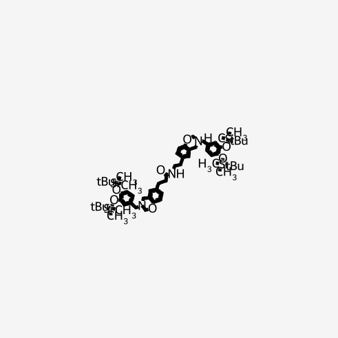 CC(C)(C)[Si](C)(C)Oc1ccc(CN2COc3ccc(CCNC(=O)CCc4ccc5c(c4)CN(Cc4ccc(O[Si](C)(C)C(C)(C)C)c(O[Si](C)(C)C(C)(C)C)c4)CO5)cc3C2)cc1O[Si](C)(C)C(C)(C)C